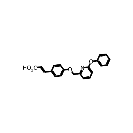 O=C(O)C=Cc1ccc(OCc2cccc(Oc3ccccc3)n2)cc1